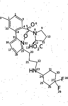 Cc1ccc(S(=O)(=O)N2CCC[C@H]2C(=O)O)c(-c2cccc(CCCNC3CCC(F)(F)CC3)n2)c1